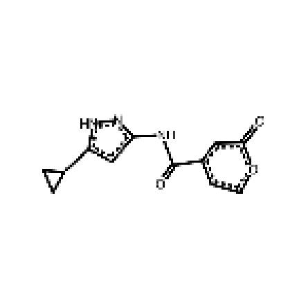 O=C(Nc1cc(C2CC2)[nH]n1)c1ccoc(=O)c1